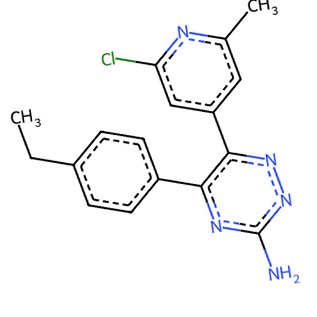 CCc1ccc(-c2nc(N)nnc2-c2cc(C)nc(Cl)c2)cc1